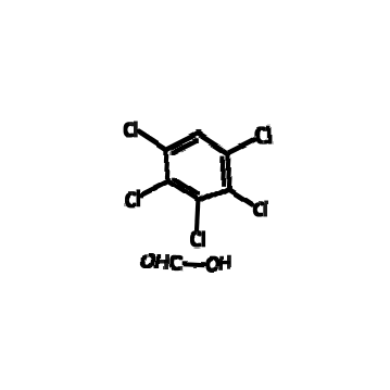 Clc1cc(Cl)c(Cl)c(Cl)c1Cl.O=CO